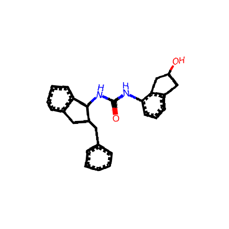 O=C(Nc1cccc2c1CC(O)C2)NC1c2ccccc2CC1Cc1ccccc1